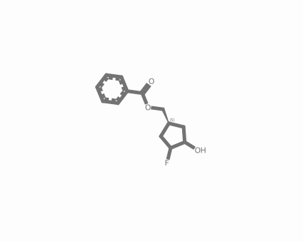 O=C(OC[C@H]1CC(O)C(F)C1)c1ccccc1